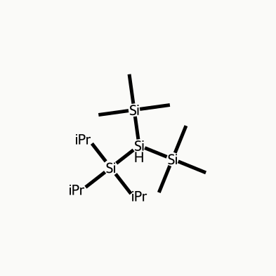 CC(C)[Si](C(C)C)(C(C)C)[SiH]([Si](C)(C)C)[Si](C)(C)C